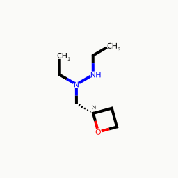 CCNN(CC)C[C@@H]1CCO1